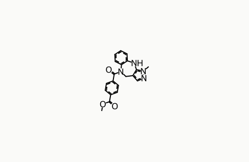 COC(=O)c1ccc(C(=O)N2Cc3cnn(C)c3Nc3ccccc32)cc1